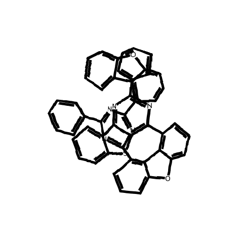 c1ccc(-c2nc(-c3cccc4oc5ccccc5c34)nc(-c3cccc4oc5cccc(-c6nc(-c7ccccc7)nc7c6sc6ccccc67)c5c34)n2)cc1